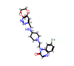 O=c1cnc2ccc(F)cc2n1CCN1CCC(NCc2cc3c(nn2)OCCO3)CC1